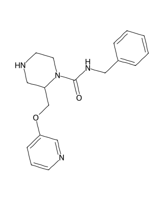 O=C(NCc1ccccc1)N1CCNCC1COc1cccnc1